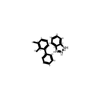 Cc1cccc(-c2ccccc2)c1C.c1ccc2[nH]nnc2c1